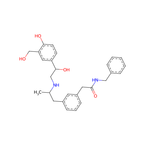 CC(Cc1cccc(CC(=O)NCc2ccccc2)c1)NCC(O)c1ccc(O)c(CO)c1